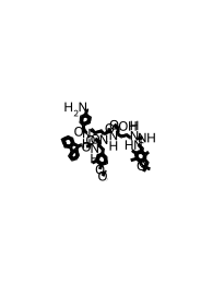 COCOc1ccc(CC(NC(=O)OCC2c3ccccc3-c3ccccc32)C(=O)N(C)C(CCCNC(=O)c2ccc(CN)cc2)C(=O)NC(CCCNC(=N)NSc2c(C)c(C)c3c(c2C)CC(C)(C)O3)C(=O)O)cc1C